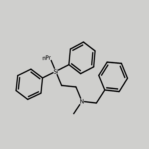 CCC[Si](CCN(C)Cc1ccccc1)(c1ccccc1)c1ccccc1